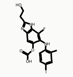 Cc1cc(I)ccc1Nc1c(OC(=O)O)cc2nc(CCO)[nH]c2c1F